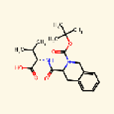 CC(C)[C@H](NC(=O)C1Cc2ccccc2CN1C(=O)OC(C)(C)C)C(=O)O